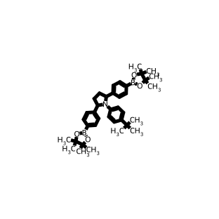 CC(C)(C)c1ccc(N2C(c3ccc(B4OC(C)(C)C(C)(C)O4)cc3)CCC2c2ccc(B3OC(C)(C)C(C)(C)O3)cc2)cc1